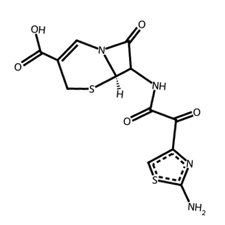 Nc1nc(C(=O)C(=O)NC2C(=O)N3C=C(C(=O)O)CS[C@H]23)cs1